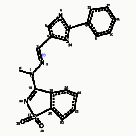 CN(/N=C/c1cnc(-c2ccccc2)s1)C1=NS(=O)(=O)c2ccccc21